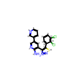 Nc1ncc(-c2cccnc2)cc1-c1nnsc1-c1cccc(Cl)c1Cl